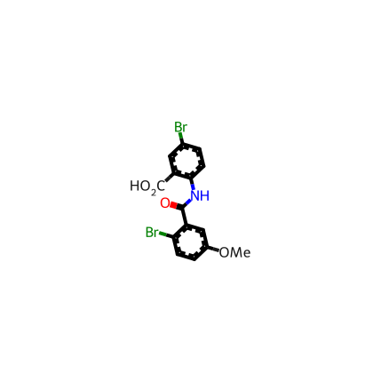 COc1ccc(Br)c(C(=O)Nc2ccc(Br)cc2C(=O)O)c1